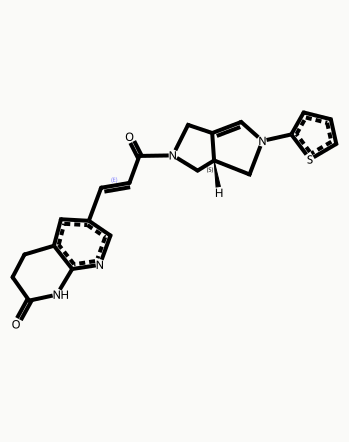 O=C1CCc2cc(/C=C/C(=O)N3CC4=CN(c5cccs5)C[C@@H]4C3)cnc2N1